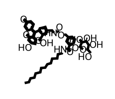 CCCCCCCCCCCCCCNC(=O)c1cc(COC(=O)NCc2ccc(-c3c4ccc(=O)cc-4oc4cc(O)ccc34)c(C(=O)O)c2)ccc1O[C@@H]1OC(CO)[C@H](O)[C@H](O)C1O